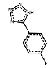 Fc1c[c]c(-c2nnn[nH]2)cc1